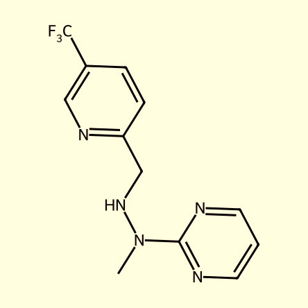 CN(NCc1ccc(C(F)(F)F)cn1)c1ncccn1